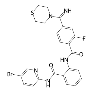 N=C(c1ccc(C(=O)Nc2ccccc2C(=O)Nc2ccc(Br)cn2)c(F)c1)N1CCSCC1